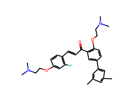 Cc1cc(C)cc(-c2ccc(OCCN(C)C)c(C(=O)C=Cc3ccc(OCCN(C)C)cc3F)c2)c1